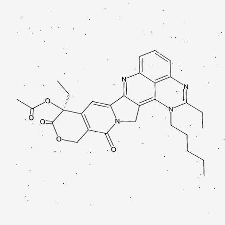 CCCCCN1C(CC)=Nc2cccc3nc4c(c1c23)Cn1c-4cc2c(c1=O)COC(=O)[C@@]2(CC)OC(C)=O